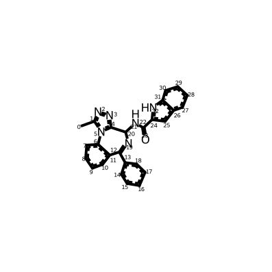 Cc1nnc2n1-c1ccccc1C(c1ccccc1)=NC2NC(=O)c1cc2ccccc2[nH]1